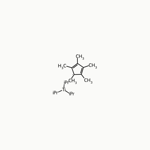 C[CH](C)[Ti]([CH](C)C)[CH](C)C.C[C]1C(C)=C(C)C(C)=C1C